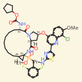 CCOP(=O)(Cc1c(F)cccc1F)[C@@]12C[C@H]1CCCCCCC[C@H](NC(=O)OC1CCCC1)C(=O)N1C[C@@H](Oc3cc(-c4csc(NC(C)C)n4)nc4c(Cl)c(OC)ccc34)C[C@H]1C(=O)N2